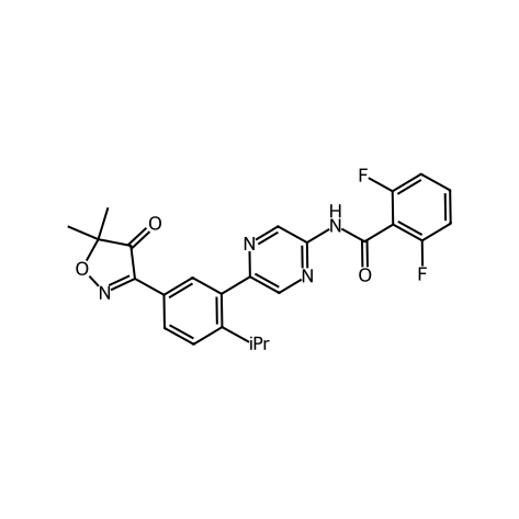 CC(C)c1ccc(C2=NOC(C)(C)C2=O)cc1-c1cnc(NC(=O)c2c(F)cccc2F)cn1